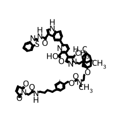 Cc1c(-c2ccc(-c3ccc4[nH]cc(C(=O)Nc5nc6ccccc6s5)c4c3)nc2C(=O)O)cnn1CC12CC3(C)CC(C)(C1)CC(OCCN(C)C(=O)OCc1[c]cc(CCCCNC(=O)CN4C(=O)C=CC4=O)cc1)(C3)C2